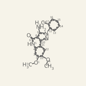 COc1cc2[nH]c(=O)c3c(N)n(-c4ccccc4C)nc3c2cc1OC